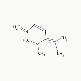 C=N/C=C\C(=C(/C)N)C(C)C